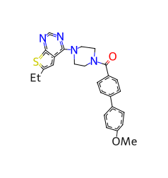 CCc1cc2c(N3CCN(C(=O)c4ccc(-c5ccc(OC)cc5)cc4)CC3)ncnc2s1